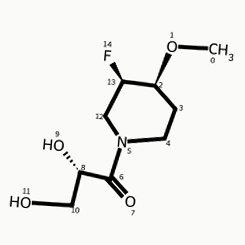 CO[C@H]1CCN(C(=O)[C@@H](O)CO)C[C@H]1F